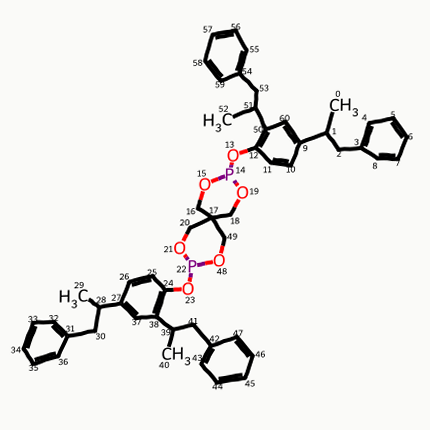 CC(Cc1ccccc1)c1ccc(OP2OCC3(CO2)COP(Oc2ccc(C(C)Cc4ccccc4)cc2C(C)Cc2ccccc2)OC3)c(C(C)Cc2ccccc2)c1